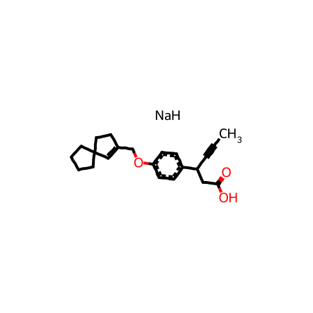 CC#CC(CC(=O)O)c1ccc(OCC2=CC3(CCCC3)CC2)cc1.[NaH]